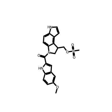 COc1ccc2[nH]c(C(=O)N3CC(COS(C)(=O)=O)c4c3ccc3[nH]ccc43)cc2c1